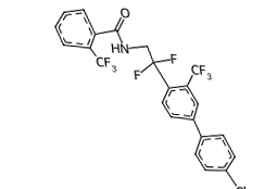 O=C(NCC(F)(F)c1ccc(-c2ccc(Cl)cc2)cc1C(F)(F)F)c1ccccc1C(F)(F)F